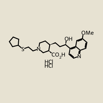 COc1ccc2nccc([C@H](O)CC[C@@H]3CCN(CCSC4CCCC4)C[C@@H]3C(=O)O)c2c1.Cl.Cl